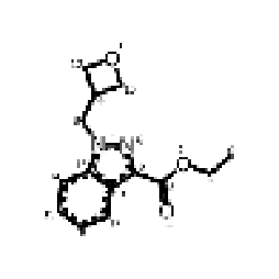 CCOC(=O)c1nn(CC2COC2)c2ccccc12